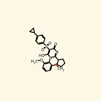 COc1cccc(OC)c1-n1c(C2CCCC2)nc(=O)c(S(=O)(=O)c2ccc(C3CC3)cc2)c1O